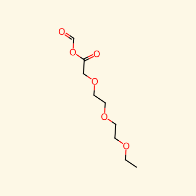 CCOCCOCCOCC(=O)OC=O